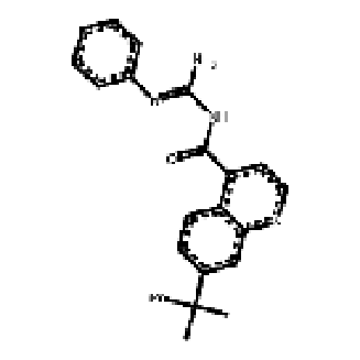 CC(C)C(C)(C)c1ccc2c(C(=O)NC(N)=Nc3ccccc3)ccnc2c1